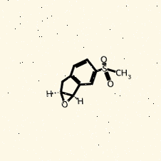 CS(=O)(=O)c1ccc2c(c1)[C@H]1O[C@H]1C2